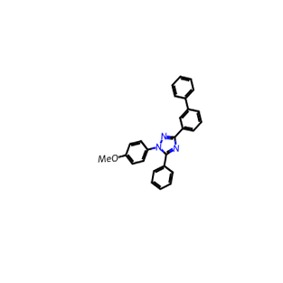 COc1ccc(-n2nc(-c3cccc(-c4ccccc4)c3)nc2-c2ccccc2)cc1